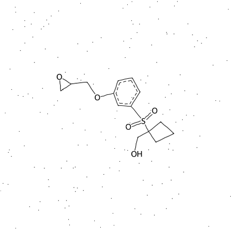 O=S(=O)(c1cccc(OCC2CO2)c1)C1(CO)CCC1